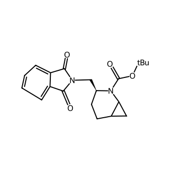 CC(C)(C)OC(=O)N1C2CC2CC[C@H]1CN1C(=O)c2ccccc2C1=O